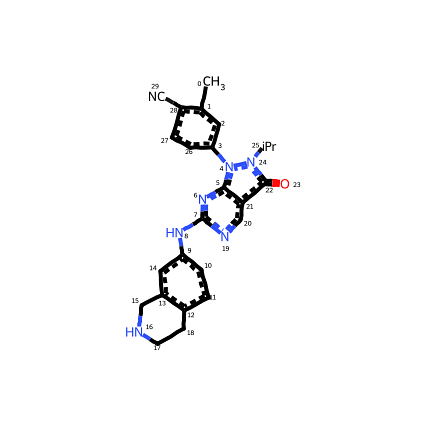 Cc1cc(-n2c3nc(Nc4ccc5c(c4)CNCC5)ncc3c(=O)n2C(C)C)ccc1C#N